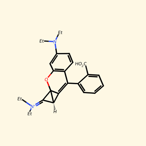 CCN(CC)c1ccc2c(c1)OC13C(=C2c2ccccc2C(=O)O)[C@H]1C3=[N+](CC)CC